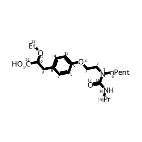 CCCCCN(CCOc1ccc(CC(OCC)C(=O)O)cc1)C(=O)NC(C)C